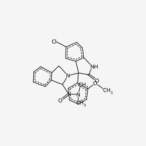 COc1ccccc1C1(N2Cc3ccccc3C2C(=O)N(C)C)C(=O)Nc2ccc(Cl)cc21